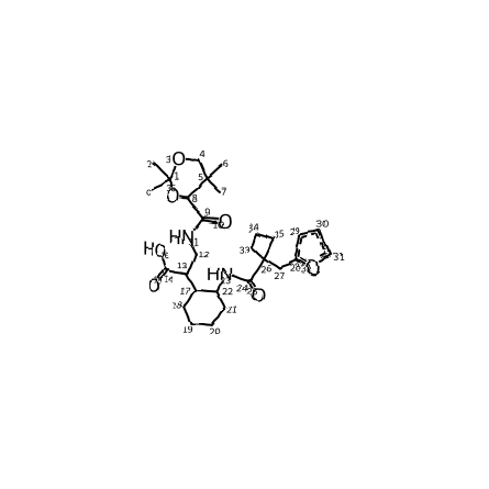 CC1(C)OCC(C)(C)C(C(=O)NCC(C(=O)O)C2CCCCC2NC(=O)C2(Cc3ccco3)CCC2)O1